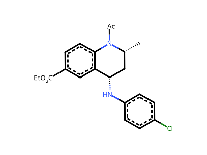 CCOC(=O)c1ccc2c(c1)[C@@H](Nc1ccc(Cl)cc1)C[C@@H](C)N2C(C)=O